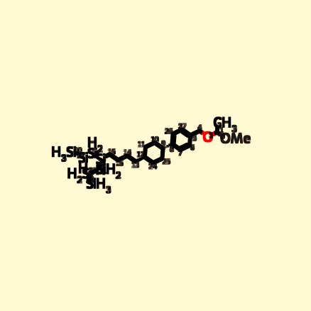 COC(C)OCc1ccc([C@H]2CC[C@H](CCCC[SiH]([SiH2][SiH2][SiH3])[SiH2][SiH2][SiH3])CC2)cc1